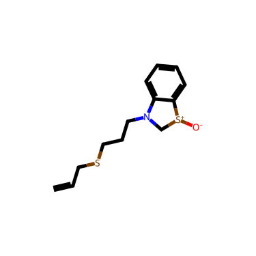 C=CCSCCCN1C[S+]([O-])c2ccccc21